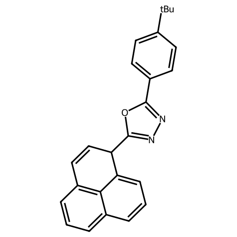 CC(C)(C)c1ccc(-c2nnc(C3C=Cc4cccc5cccc3c45)o2)cc1